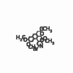 COC(=O)Cc1cc2cc(OC)c(OC)cc2c(-c2ccnc(Br)c2)c1CC(=O)OC